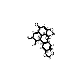 CC1C=C2C(=O)C=C3OCOC34Oc3cc5c(cc3C(C1C)C24)OCO5